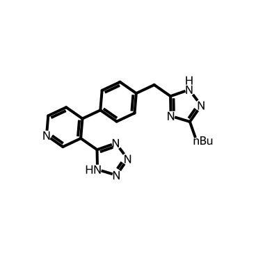 CCCCc1n[nH]c(Cc2ccc(-c3ccncc3-c3nnn[nH]3)cc2)n1